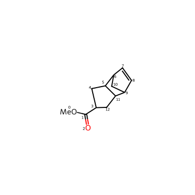 [CH2]OC(=O)C1CC2C3C=CC(C3)C2C1